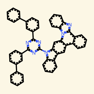 c1ccc(-c2cccc(-c3nc(-c4cccc(-c5ccccc5)c4)nc(-n4c5ccccc5c5cc6c7ccccc7c7nc8ccccc8n7c6cc54)n3)c2)cc1